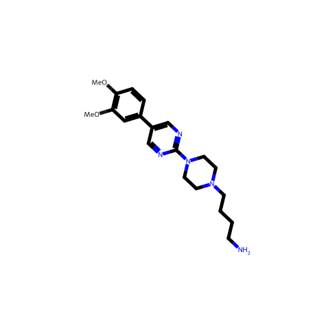 COc1ccc(-c2cnc(N3CCN(CCCCN)CC3)nc2)cc1OC